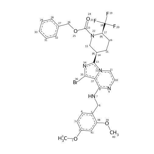 COc1ccc(CNc2nccn3c([C@@H]4CC[C@H](C(F)(F)F)N(C(=O)OCc5ccccc5)C4)nc(Br)c23)c(OC)c1